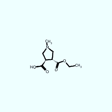 CCOC(=O)[C@H]1CN(C)C[C@@H]1C(=O)O